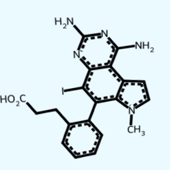 Cn1ccc2c3c(N)nc(N)nc3c(I)c(-c3ccccc3CCC(=O)O)c21